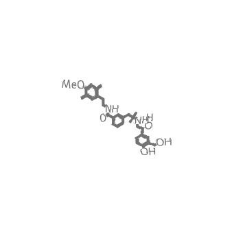 COc1cc(C)c(CCNC(=O)c2cccc(CC(C)(C)NC[C@H](O)c3ccc(O)c(CO)c3)c2)cc1C